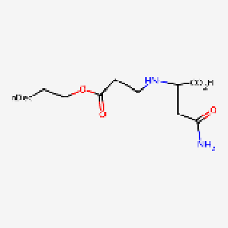 CCCCCCCCCCCCOC(=O)CCNC(CC(N)=O)C(=O)O